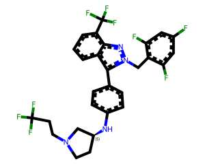 Fc1cc(F)c(Cn2nc3c(C(F)(F)F)cccc3c2-c2ccc(N[C@H]3CCN(CCC(F)(F)F)C3)cc2)c(F)c1